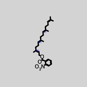 CC(C)=CCC/C(C)=C/CC/C(C)=C/CC/C(C)=C/COC(=O)c1ccccc1[N+](=O)[O-]